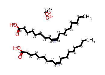 CCCCCCCC/C=C\CCCCCCCC(=O)O.CCCCCCCC/C=C\CCCCCCCC(=O)O.[O-2].[O-2].[Ti+4]